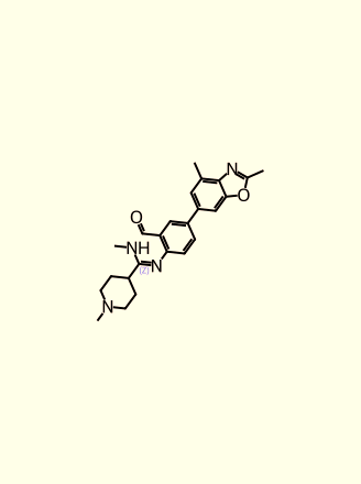 CN/C(=N\c1ccc(-c2cc(C)c3nc(C)oc3c2)cc1C=O)C1CCN(C)CC1